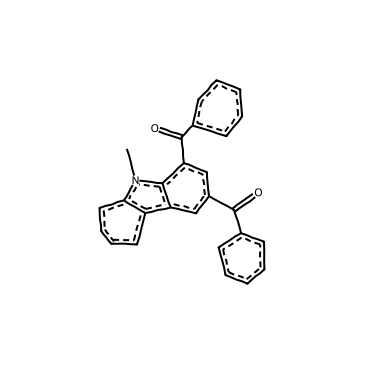 Cn1c2ccccc2c2cc(C(=O)c3ccccc3)cc(C(=O)c3ccccc3)c21